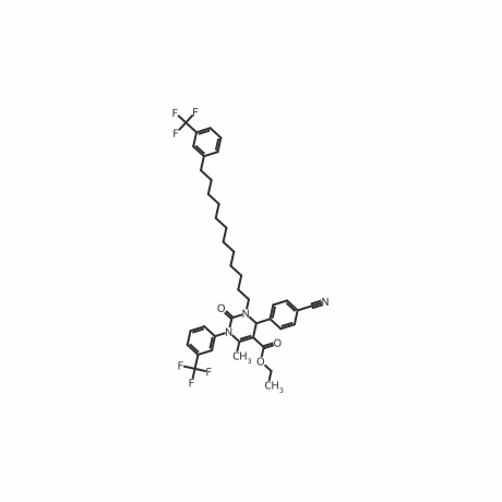 CCOC(=O)C1=C(C)N(c2cccc(C(F)(F)F)c2)C(=O)N(CCCCCCCCCCCCc2cccc(C(F)(F)F)c2)C1c1ccc(C#N)cc1